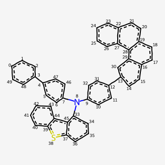 c1ccc(-c2ccc(N(c3ccc(-c4ccc5ccc6ccc7ccccc7c6c5c4)cc3)c3cccc4sc5ccccc5c34)cc2)cc1